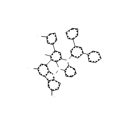 CSc1ccc2c(c1)c1cc(SC)cc3c1n2B1c2ccccc2N(c2cc(-c4ccccc4)cc(-c4ccccc4)c2)c2cc(-c4cccc(C#N)c4)c(C)c-3c21